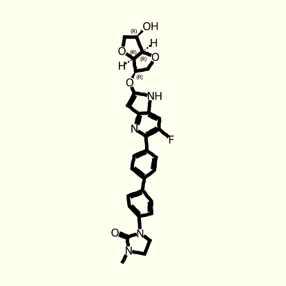 CN1CCN(c2ccc(-c3ccc(-c4nc5cc(O[C@@H]6CO[C@H]7[C@@H]6OC[C@H]7O)[nH]c5cc4F)cc3)cc2)C1=O